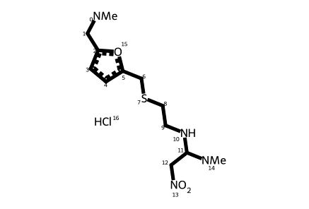 CNCc1ccc(CSCCNC(C[N+](=O)[O-])NC)o1.Cl